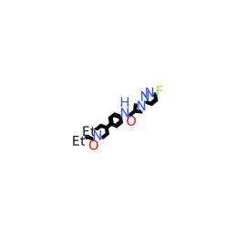 CCC(CC)C(=O)N1CCC(c2ccc(NC(=O)C3CN(c4ccc(F)nn4)C3)cc2)CC1